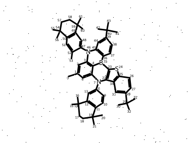 Cc1cc2c3c(c1)N(c1ccc4c(c1)C(C)(C)CCC4(C)C)c1c(sc4ccc(C(C)(C)C)cc14)B3c1ccc(C(C)(C)C)cc1N2c1cc2c(cc1C)C(C)(C)CCC2(C)C